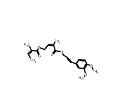 C/C=C(/C)C(=O)OC/C=C(/C)C(=O)OC/C=C/c1ccc(OC)c(OC)c1